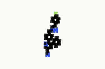 N#Cc1cnc(-c2ccc(CNCCc3ccc(F)cc3)cc2)c(-c2ccccc2)c1